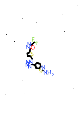 Nc1nc2ccc(-c3nnnn3Cc3ccc(-c4nnc(C(F)F)o4)s3)cc2s1